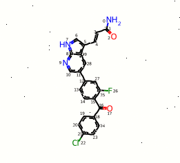 NC(=O)/C=C/c1c[nH]c2ncc(-c3ccc(C(=O)c4ccc(Cl)cc4)c(F)c3)cc12